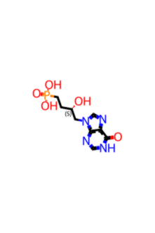 O=c1[nH]cnc2c1ncn2C[C@@H](O)CCP(=O)(O)O